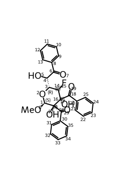 CO[C@H]1O[C@H](C(O)C(=O)c2ccccc2)[C@@H](F)[C@@](O)(C(=O)c2ccccc2)[C@]1(O)C(=O)c1ccccc1